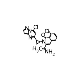 C[C@H](N)c1cc2cccc(Cl)c2c(=O)n1C1CC1c1cc(Cl)n2nccc2n1